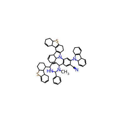 CN1C(c2cc(C#N)c(N3C4=C(C=CCC4)C4C=CC=CC43)cc2N2C3=C(C4=C(CC3)SC3CCC=CC43)C3C=CCCC32)C=CC(C2CCCC3SC4=CC=CCC4C32)NC1c1ccccc1